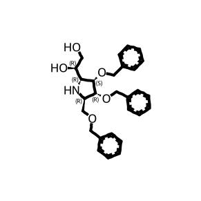 OC[C@H](O)[C@H]1N[C@H](COCc2ccccc2)[C@@H](OCc2ccccc2)[C@H]1OCc1ccccc1